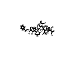 CCC(C)[C@@H]([C@@H](CC(=O)N1CCCC[C@H]1[C@H](OC)[C@@H](C)C(=O)NCCc1ccccc1)OC)N(C)C(=O)[C@@H](NC(=O)[C@@H](NC)C(C)C)C(C)C